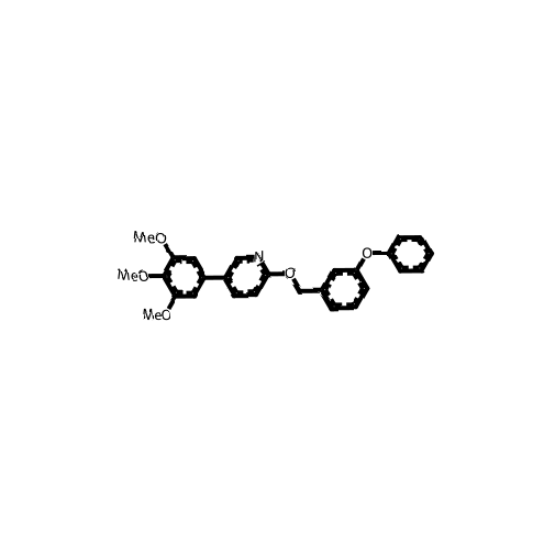 COc1cc(-c2ccc(OCc3cccc(Oc4ccccc4)c3)nc2)cc(OC)c1OC